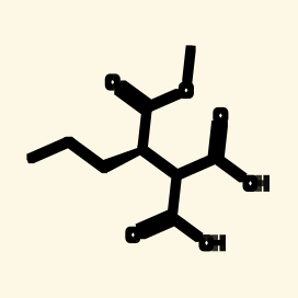 CCC[C@@H](C(=O)OC)C(C(=O)O)C(=O)O